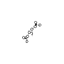 c1ccc(-n2c3ccccc3c3cc(-c4ccc5c(c4)-c4ccnc6c(-c7ccc8c(c7)c7ccccc7n8-c7ccccc7)ccc-5c46)ccc32)cc1